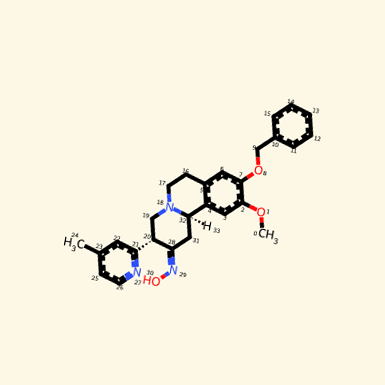 COc1cc2c(cc1OCc1ccccc1)CCN1C[C@@H](c3cc(C)ccn3)/C(=N\O)C[C@H]21